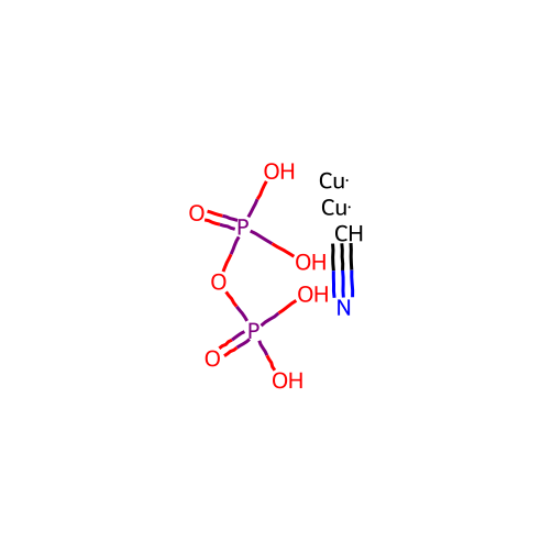 C#N.O=P(O)(O)OP(=O)(O)O.[Cu].[Cu]